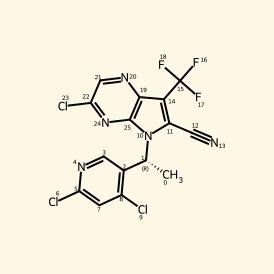 C[C@H](c1cnc(Cl)cc1Cl)n1c(C#N)c(C(F)(F)F)c2ncc(Cl)nc21